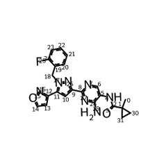 CC1(C(=O)Nc2cnc(-c3cc(-c4ccon4)n(Cc4ccccc4F)n3)nc2N)CC1